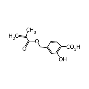 C=C(C)C(=O)OCc1ccc(C(=O)O)c(O)c1